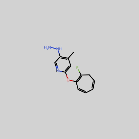 Cc1cc(OC2=C(F)CC=CC=C2)ncc1NN